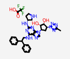 Cc1nnn([C@H]2C[C@@H](n3cnc4c(NCC(c5ccccc5)c5ccccc5)nc(N[C@@H]5CCNC5)nc43)[C@H](O)[C@@H]2O)n1.O=C(O)C(F)(F)F